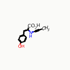 CC#CNC(Cc1ccc(O)cc1)C(=O)O